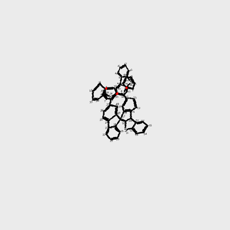 c1ccc(N(c2ccccc2)c2ccc3c(c2)C2(c4ccccc4-c4ccc(N(c5ccccc5)c5ccc6sc7ccccc7c6c5)cc42)C2Sc4ccccc4C32)cc1